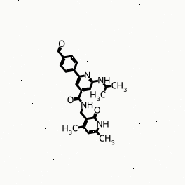 Cc1cc(C)c(CNC(=O)c2cc(NC(C)C)nc(-c3ccc(C=O)cc3)c2)c(=O)[nH]1